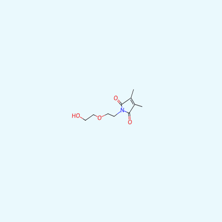 CC1=C(C)C(=O)N(CCOCCO)C1=O